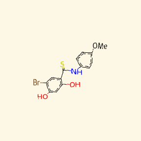 COc1ccc(NC(=S)c2cc(Br)c(O)cc2O)cc1